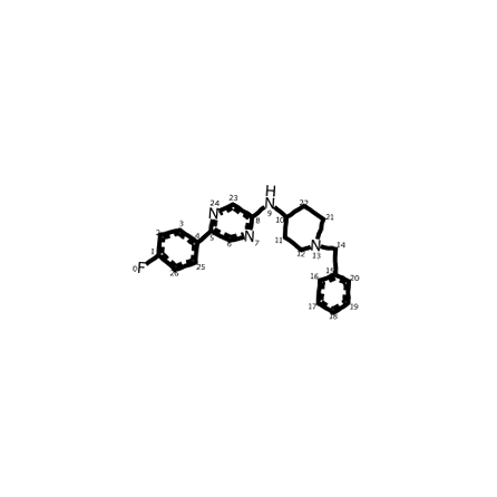 Fc1ccc(-c2cnc(NC3CCN(Cc4ccccc4)CC3)cn2)cc1